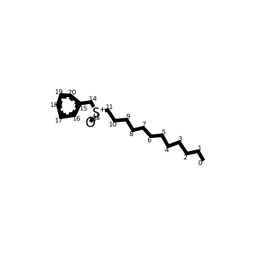 CCCCCCCCCCCC[S+]([O-])Cc1ccccc1